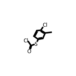 Cc1cc(SC(=O)Cl)ccc1Cl